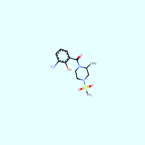 CS(=O)(=O)N1CCN(C(=O)c2cccc(N)c2O)C(C=O)C1